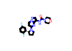 O=C(Nc1cnn2ccc(N3CCC[C@@H]3c3cc(F)ccc3F)nc12)N1CCOCC1